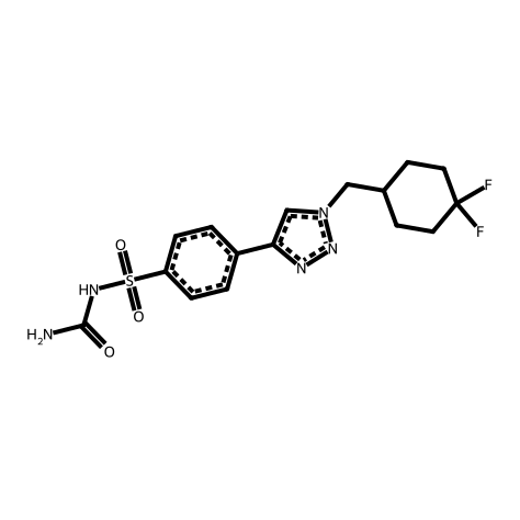 NC(=O)NS(=O)(=O)c1ccc(-c2cn(CC3CCC(F)(F)CC3)nn2)cc1